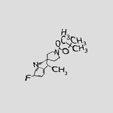 CC(c1ccc(F)cc1)C1(C#N)CCN(C(=O)OC(C)(C)C)CC1